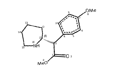 COC(=O)C(c1ccc(OC)cc1)[C@H]1CCCCN1